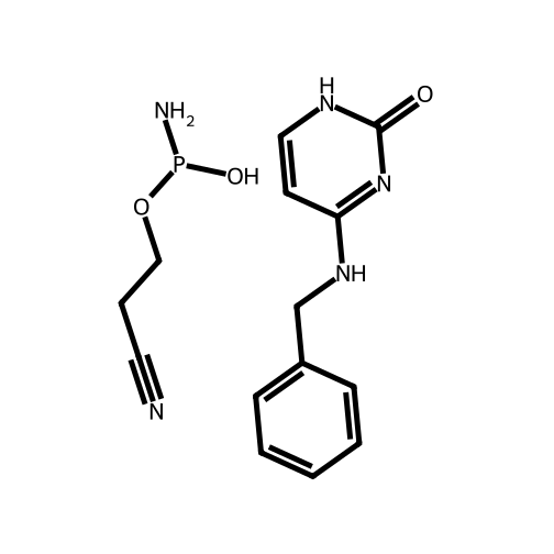 N#CCCOP(N)O.O=c1nc(NCc2ccccc2)cc[nH]1